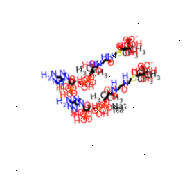 CC(C)(COP(=O)(O)OP(=O)(O)OC[C@H]1O[C@@H](n2cnc3c(N)ncnc32)[C@H](O)[C@@H]1OP(=O)(O)O)[C@@H](O)C(=O)NCCC(=O)NCCSC(=O)C(C)(C)C(C)(O)C(O)(O)C(=O)[O-].CC(C)(COP(=O)(O)OP(=O)(O)OC[C@H]1O[C@@H](n2cnc3c(N)ncnc32)[C@H](O)[C@@H]1OP(=O)(O)O)[C@@H](O)C(=O)NCCC(=O)NCCSC(=O)C(C)(C)C(C)(O)C(O)(O)C(=O)[O-].[Na+].[Na+]